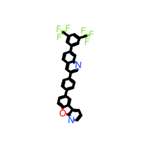 FC(F)(F)c1cc(-c2ccc3cc(-c4ccc(-c5ccc6oc7ncccc7c6c5)cc4)cnc3c2)cc(C(F)(F)F)c1